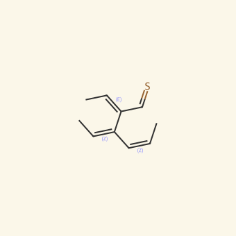 C\C=C/C(=C/C)C(/C=S)=C\C